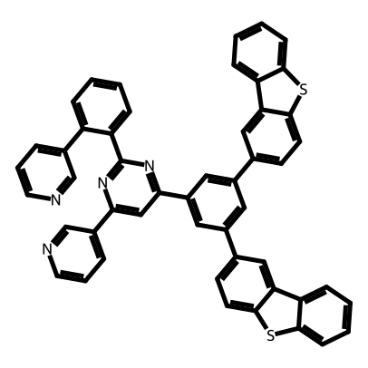 c1cncc(-c2cc(-c3cc(-c4ccc5sc6ccccc6c5c4)cc(-c4ccc5sc6ccccc6c5c4)c3)nc(-c3ccccc3-c3cccnc3)n2)c1